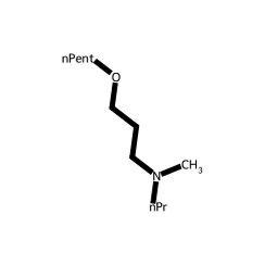 CCCCCOCCCN(C)CCC